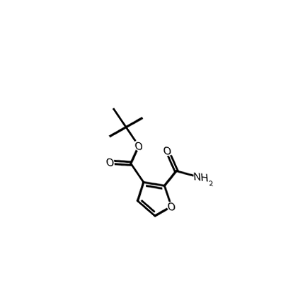 CC(C)(C)OC(=O)c1ccoc1C(N)=O